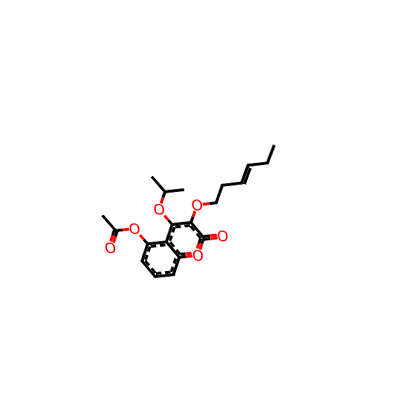 CCC=CCCOc1c(OC(C)C)c2c(OC(C)=O)cccc2oc1=O